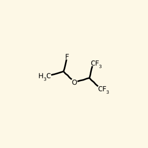 CC(F)OC(C(F)(F)F)C(F)(F)F